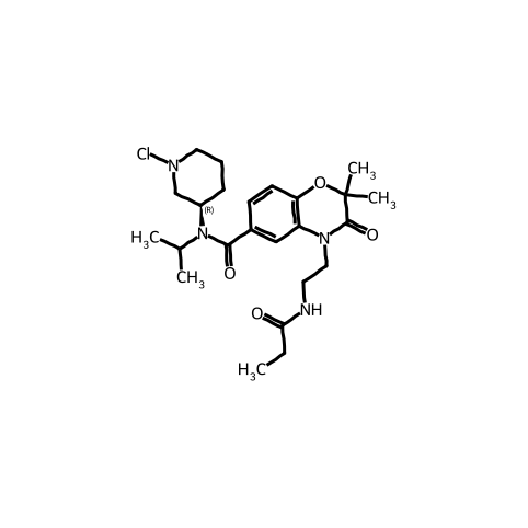 CCC(=O)NCCN1C(=O)C(C)(C)Oc2ccc(C(=O)N(C(C)C)[C@@H]3CCCN(Cl)C3)cc21